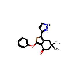 CC1(C)CC(=O)c2c(Oc3ccccc3)sc(-c3cc[nH]n3)c2C1